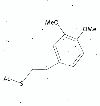 COc1ccc(CCSC(C)=O)cc1OC